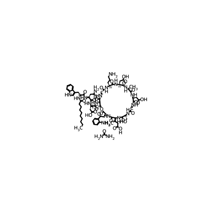 CCCCCCCCCC(=O)N[C@@H](Cc1c[nH]c2ccccc12)C(=O)N[C@@H](CC(N)=O)C(=O)N[C@@H](CC(=O)O)C(=O)N[C@@H]1C(=O)NCC(=O)N[C@@H](CCCN)C(=O)N[C@@H](CC(=O)O)C(=O)N[C@H](C)C(=O)N[C@@H](CC(=O)O)C(=O)NCC(=O)N[C@H](CO)C(=O)N[C@@H]([C@H](C)CC(=O)O)C(=O)N[C@@H](CC(=O)c2ccccc2N)C(=O)O[C@@H]1C.NC(N)=O